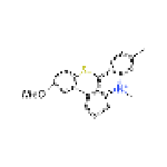 COc1ccc2c(c1)-c1cccc3c1c(c1ccc(C)cc1[n+]3C)S2